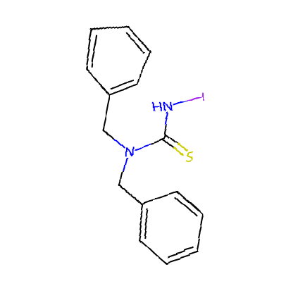 S=C(NI)N(Cc1ccccc1)Cc1ccccc1